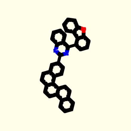 c1ccc2c(c1)ccc1c2ccc2ccc3cc(-c4nc(-c5cccc6oc7ccccc7c56)c5ccccc5n4)ccc3c21